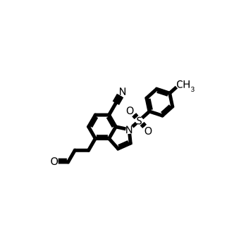 Cc1ccc(S(=O)(=O)n2ccc3c(CCC=O)ccc(C#N)c32)cc1